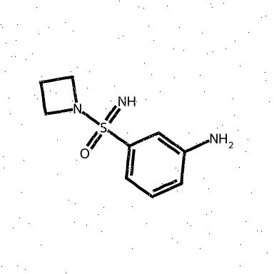 N=S(=O)(c1cccc(N)c1)N1CCC1